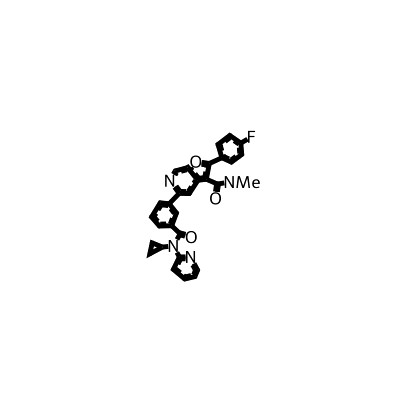 CNC(=O)c1c(-c2ccc(F)cc2)oc2cnc(-c3cccc(C(=O)N(c4ccccn4)C4CC4)c3)cc12